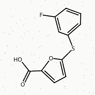 O=C(O)c1ccc(Sc2cccc(F)c2)o1